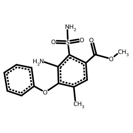 COC(=O)c1cc(C)c(Oc2ccccc2)c(N)c1S(N)(=O)=O